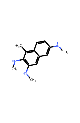 [CH2]c1c(NC)c(NC)cc2cc(NC)ccc12